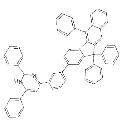 C1=C(c2ccccc2)NC(c2ccccc2)N=C1c1cccc(-c2ccc3c(c2)C(c2ccccc2)(c2ccccc2)c2cc4ccccc4c(-c4ccccc4)c2-3)c1